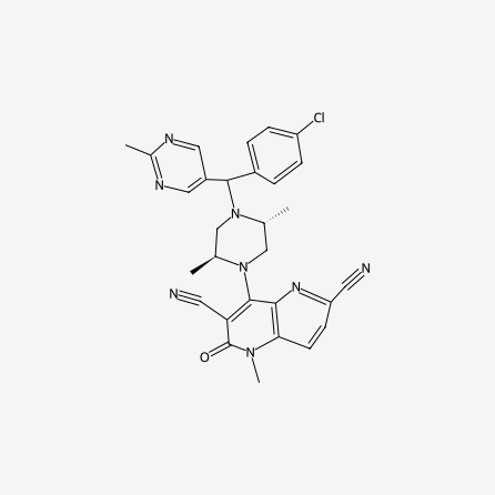 Cc1ncc(C(c2ccc(Cl)cc2)N2C[C@H](C)N(c3c(C#N)c(=O)n(C)c4ccc(C#N)nc34)C[C@H]2C)cn1